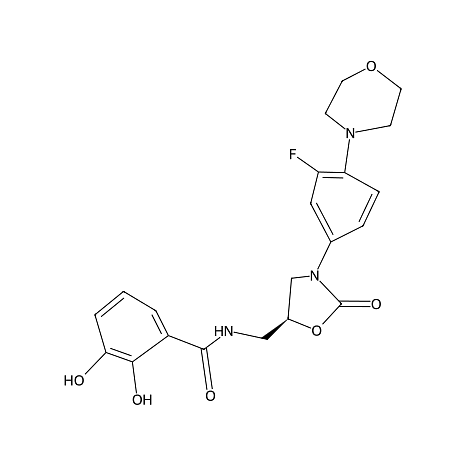 O=C(NC[C@H]1CN(c2ccc(N3CCOCC3)c(F)c2)C(=O)O1)c1cccc(O)c1O